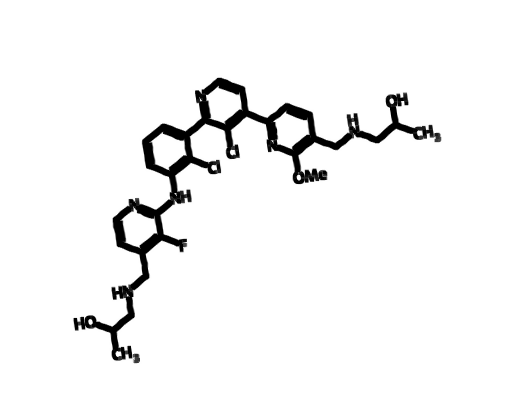 COc1nc(-c2ccnc(-c3cccc(Nc4nccc(CNCC(C)O)c4F)c3Cl)c2Cl)ccc1CNCC(C)O